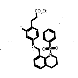 CCOC(=O)CCc1ccc(OCc2cccc3c2N(S(=O)(=O)c2ccccc2)CCC3)cc1F